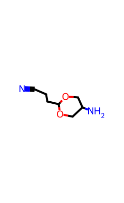 N#CCCC1OCC(N)CO1